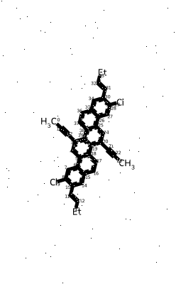 CC#Cc1cc2c3cc(Cl)c(/C=C/CC)cc3ccc2c2c(C#CC)cc3c4cc(Cl)c(/C=C/CC)cc4ccc3c12